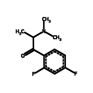 CC(C(=O)c1ccc(F)cc1F)N(C)C